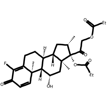 CCC(=O)OCC(=O)[C@]1(OC(=O)CC)[C@@H](C)C[C@H]2[C@@H]3CCC4=C(F)C(=O)C=C[C@]4(C)[C@H]3[C@@H](O)C[C@@]21C